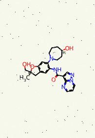 C[C@]1(CO)Cc2cc(NC(=O)c3cnn4cccnc34)c(N3CCC[C@@H](O)CC3)cc2O1